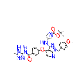 COc1ccc(Cn2nc(NC3CCN(C(=O)OC(C)(C)C)C3)c3c(Oc4ccc(C(=O)Nc5nnc(C)[nH]5)cc4)ccnc32)cc1